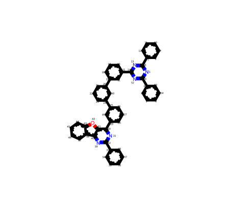 c1ccc(-c2nc(-c3ccccc3)nc(-c3cccc(-c4cccc(-c5cccc(-c6nc(-c7ccccc7)nc7c6oc6ccccc67)c5)c4)c3)n2)cc1